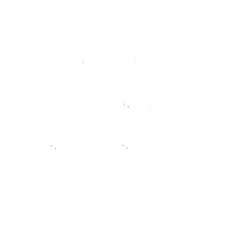 C=C1CC(c2cccn2C)c2ncc(C(=O)OCC)c(=O)n2C1C